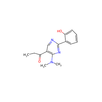 CCC(=O)c1cnc(-c2ccccc2O)nc1N(C)C